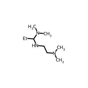 CCC(NCCN(C)C)N(C)C